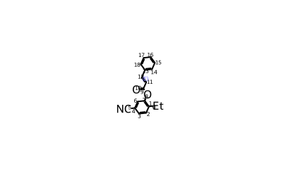 CCc1ccc(C#N)cc1OC(=O)/C=C/c1ccccc1